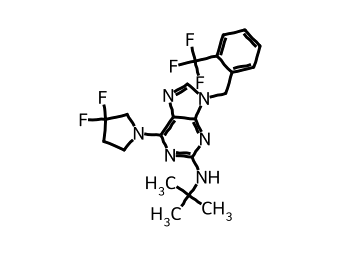 CC(C)(C)Nc1nc(N2CCC(F)(F)C2)c2ncn(Cc3ccccc3C(F)(F)F)c2n1